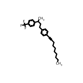 CCCCCCCCC#Cc1ccc(CCC(C)c2ccc(C(F)(F)F)cc2)cc1